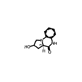 O=C1Nc2ccccc2N2CC(O)C[C@H]12